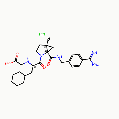 Cl.N=C(N)c1ccc(CNC(=O)[C@]23C[C@H]2CCN3C(=O)[C@@H](CC2CCCCC2)NCC(=O)O)cc1